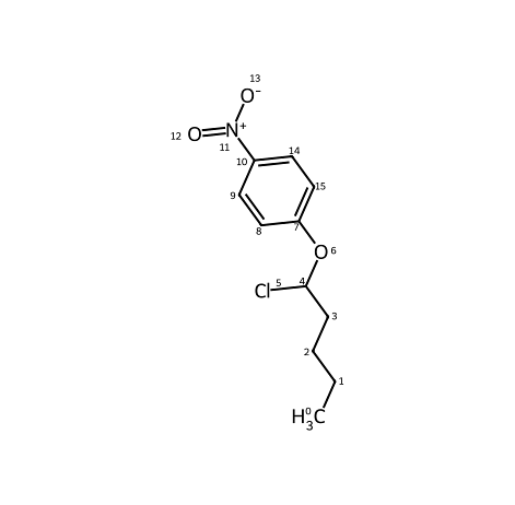 CCCCC(Cl)Oc1ccc([N+](=O)[O-])cc1